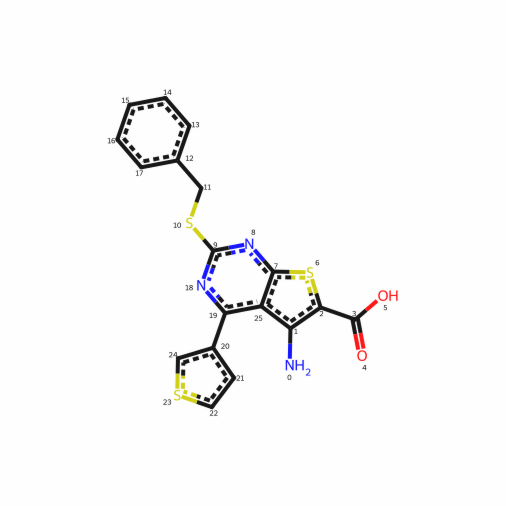 Nc1c(C(=O)O)sc2nc(SCc3ccccc3)nc(-c3ccsc3)c12